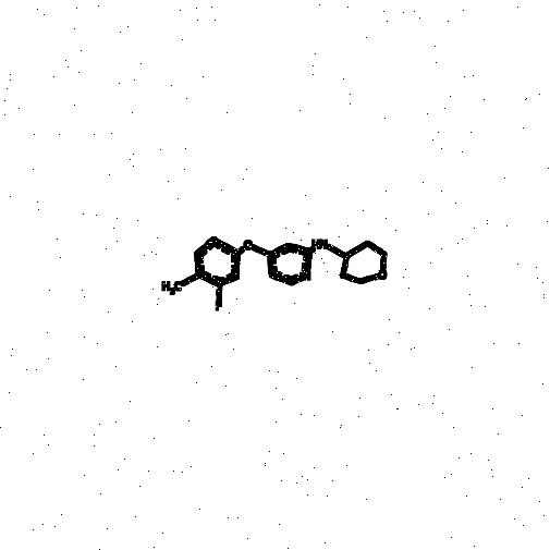 Cc1ccc(Oc2ccnc(NC3CCOCC3)c2)cc1F